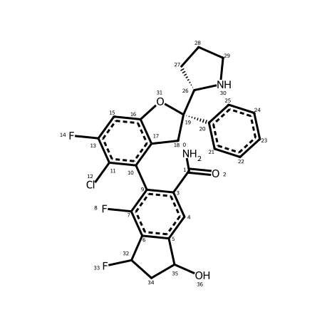 NC(=O)c1cc2c(c(F)c1-c1c(Cl)c(F)cc3c1C[C@](c1ccccc1)([C@@H]1CCCN1)O3)C(F)CC2O